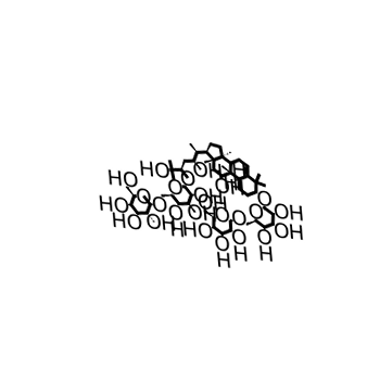 C[C@@H]([C@H]1CC[C@@]2(C)[C@@H]3CC=C4[C@@H](CC[C@H](O[C@@H]5O[C@H](CO[C@@H]6O[C@H](CO)[C@@H](O)[C@H](O)[C@H]6O)[C@@H](O)[C@H](O)[C@H]5O)C4(C)C)[C@]3(C)[C@H](O)C[C@]12C)[C@@H](O)C[C@@H](O[C@@H]1O[C@H](CO[C@@H]2O[C@H](CO)[C@@H](O)[C@H](O)[C@H]2O)[C@@H](O)[C@H](O)[C@H]1O)C(C)(C)O